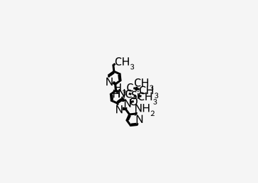 CCc1ccc(-c2ccc3nc(-c4cccnc4N)n(O[Si](C)(C)C(C)(C)C)c3n2)nc1